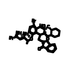 CC(Oc1ccc(Br)c2c1C(CN1Cc3ccccc3C1=O)N(C(=O)C1CCCC[C@@H]1C(=O)O)CC2)/C(N)=C/N(N)C(C)C